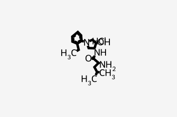 CCc1ccccc1N1CC(O)C(NC(=O)[C@@H](N)CC(C)C)C1.Cl